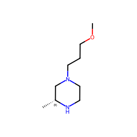 COCCCN1CCN[C@H](C)C1